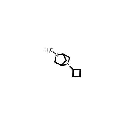 CN1CC2CC1CN2C1CCC1